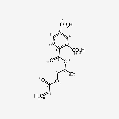 C=CC(=O)OCC(CC)OC(=O)c1ccc(C(=O)O)cc1C(=O)O